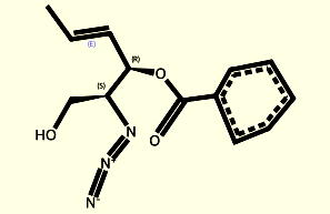 C/C=C/[C@@H](OC(=O)c1ccccc1)[C@H](CO)N=[N+]=[N-]